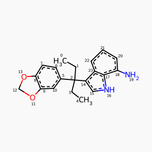 CCC(CC)(c1ccc2c(c1)OCO2)c1c[nH]c2c(N)cccc12